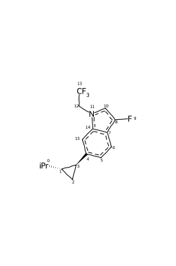 CC(C)[C@H]1C[C@@H]1c1ccc2c(F)cn(CC(F)(F)F)c2c1